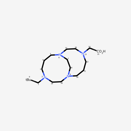 CC(C)(C)CN1CCCN2CCN(CCCN(CC(=O)O)CC2)CC1